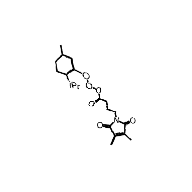 CC1=C(C)C(=O)N(CCCC(=O)OOOC2CC(C)CCC2C(C)C)C1=O